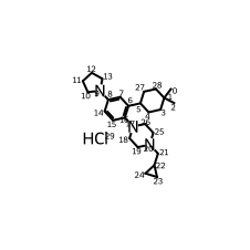 CC1(C)CCC(c2cc(N3CCCC3)ccc2N2CCN(CC3CC3)CC2)CC1.Cl